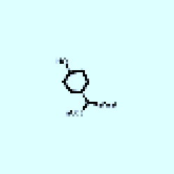 CCCCCCCCC(CCCCC)[C@H]1CC[C@@H](O)CC1